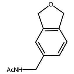 CC(=O)NCc1ccc2c(c1)COC2